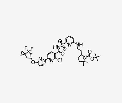 CC(C)(C)OC(=O)N1C(CCNc2cccc(S(=O)(=O)NC(=O)c3ccc(-n4ccc(OCCC5(C(F)(F)F)CC5)n4)nc3Cl)n2)CCC1(C)C